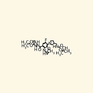 COc1c(NC2CC2)c(C(=O)NNC(=O)OC(C)(C)C)cc(F)c1N1CCC(CNC(=O)OC(C)(C)C)C1